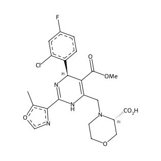 COC(=O)C1=C(CN2CCOC[C@H]2C(=O)O)NC(c2ncoc2C)=N[C@H]1c1ccc(F)cc1Cl